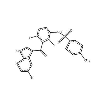 Cc1ccc(S(=O)(=O)Nc2ccc(F)c(C(=O)c3c[nH]c4ncc(Br)cc34)c2F)cc1